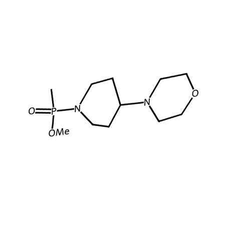 COP(C)(=O)N1CCC(N2CCOCC2)CC1